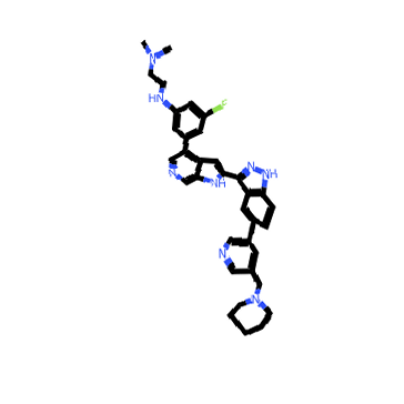 CN(C)CCNc1cc(F)cc(-c2cncc3[nH]c(-c4n[nH]c5ccc(-c6cncc(CN7CCCCC7)c6)cc45)cc23)c1